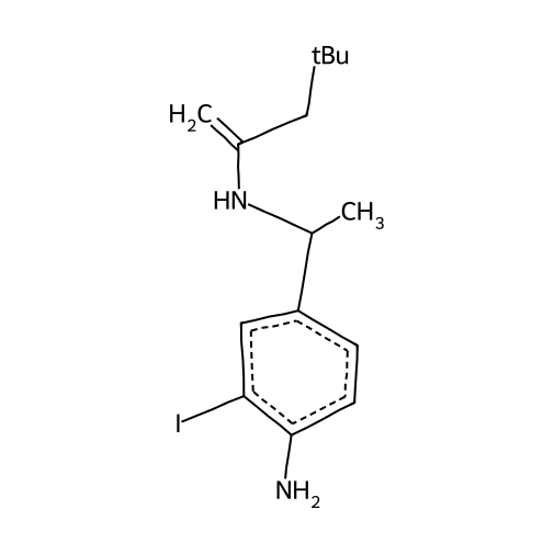 C=C(CC(C)(C)C)NC(C)c1ccc(N)c(I)c1